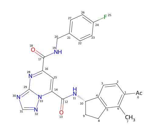 CC(=O)c1ccc2c(c1C)CC[C@@H]2NC(=O)c1cc(C(=O)NCc2ccc(F)cc2)nc2ncnn12